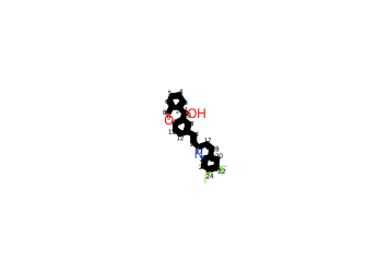 OC1c2ccccc2COc2ccc(C=Cc3ccc4cc(F)c(F)cc4n3)cc21